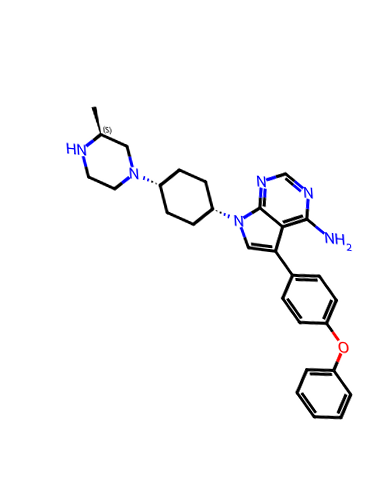 C[C@H]1CN([C@H]2CC[C@@H](n3cc(-c4ccc(Oc5ccccc5)cc4)c4c(N)ncnc43)CC2)CCN1